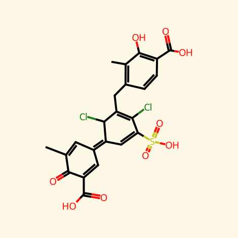 CC1=CC(=C2C=C(S(=O)(=O)O)C(Cl)=C(Cc3ccc(C(=O)O)c(O)c3C)C2Cl)C=C(C(=O)O)C1=O